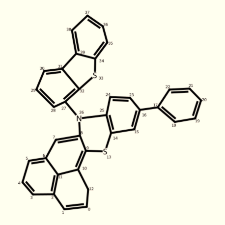 C1=Cc2cccc3cc4c(c(c23)C1)Sc1cc(-c2ccccc2)ccc1N4c1cccc2c1sc1ccccc12